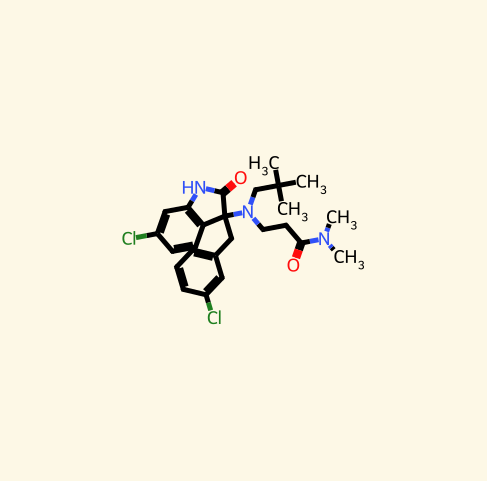 CN(C)C(=O)CCN(CC(C)(C)C)C1(Cc2cccc(Cl)c2)C(=O)Nc2cc(Cl)ccc21